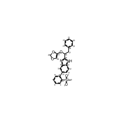 CS(=O)(=O)c1ccccc1-c1ccc2[nH]c(C(Cc3ccccc3)OC3=COCO3)nc2c1